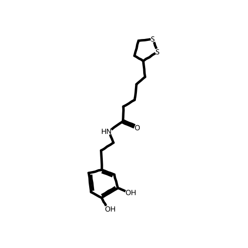 O=C(CCCCC1CCSS1)NCCc1ccc(O)c(O)c1